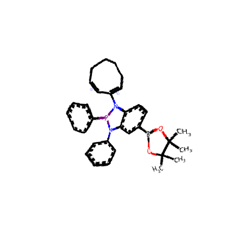 CC1(C)OB(c2ccc3c(c2)N(c2ccccc2)P(c2ccccc2)N3C2=C/CCCC/C=C\2)OC1(C)C